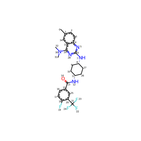 Cc1ccc2nc(N[C@H]3CC[C@@H](NC(=O)c4ccc(F)c(C(F)(F)F)c4)CC3)nc(N(C)C)c2c1